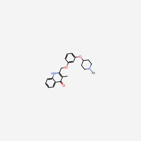 CC(=O)N1CCC(Oc2cccc(OCc3[nH]c4ccccc4c(=O)c3C)c2)CC1